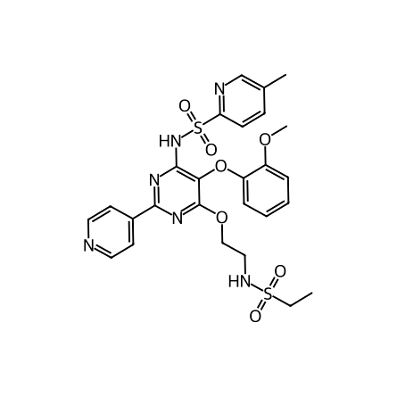 CCS(=O)(=O)NCCOc1nc(-c2ccncc2)nc(NS(=O)(=O)c2ccc(C)cn2)c1Oc1ccccc1OC